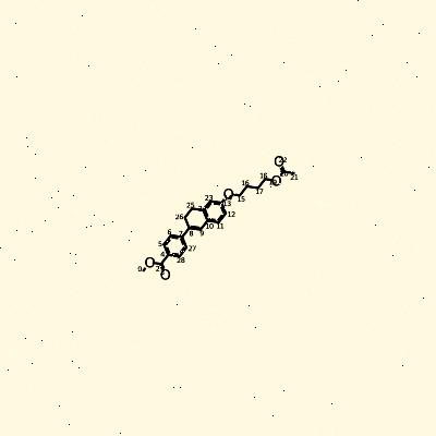 COC(=O)c1ccc(C2=Cc3ccc(OCCCCOC(C)=O)cc3CC2)cc1